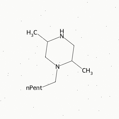 CCCCCCN1CC(C)NCC1C